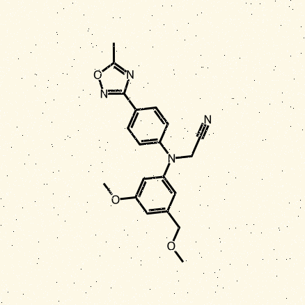 COCc1cc(OC)cc(N(CC#N)c2ccc(-c3noc(C)n3)cc2)c1